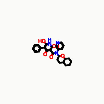 O=C(c1c(O)[nH]c(O)c(-c2ccccc2)c1=O)N(c1cccnc1)C1CCC2CCCCC2O1